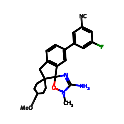 [C-]#[N+]c1cc(F)cc(-c2ccc3c(c2)C2(N=C(N)N(C)O2)C2(CCC(OC)CC2)C3)c1